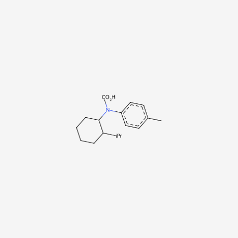 Cc1ccc(N(C(=O)O)C2CCCCC2C(C)C)cc1